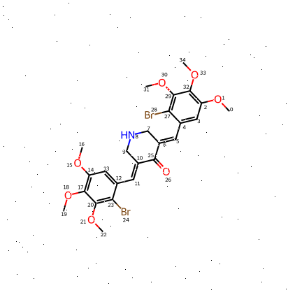 COc1cc(C=C2CNCC(=Cc3cc(OC)c(OC)c(OC)c3Br)C2=O)c(Br)c(OC)c1OC